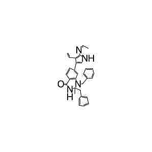 C=Cc1c(-c2ccc3c(c2)N(Cc2ccccc2)C(C)(Cc2ccccc2)NC3=O)c[nH]c1/N=C\C